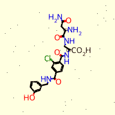 NC(=O)C[C@H](N)C(=O)NC[C@H](NC(=O)c1ccc(C(=O)NCc2cccc(O)c2)cc1Cl)C(=O)O